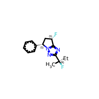 CC[C@@](C)(F)c1nc2n(n1)[C@H](c1ccccc1)C[C@@H]2F